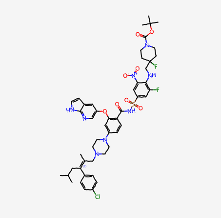 C/C(CN1CCN(c2ccc(C(=O)NS(=O)(=O)c3cc(F)c(NCC4(F)CCN(C(=O)OC(C)(C)C)CC4)c([N+](=O)[O-])c3)c(Oc3cnc4[nH]ccc4c3)c2)CC1)=C(\CC(C)C)c1ccc(Cl)cc1